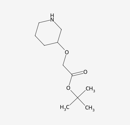 CC(C)(C)OC(=O)COC1CCCNC1